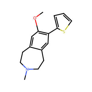 COc1cc2c(cc1-c1cccs1)CCN(C)CC2